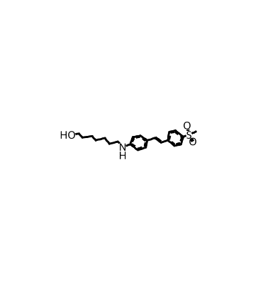 CS(=O)(=O)c1ccc(C=Cc2ccc(NCCCCCCCO)cc2)cc1